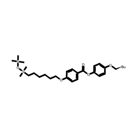 CC[C@H](C)COc1ccc(OC(=O)c2ccc(OCCCCCC[Si](C)(C)O[Si](C)(C)C)cc2)cc1